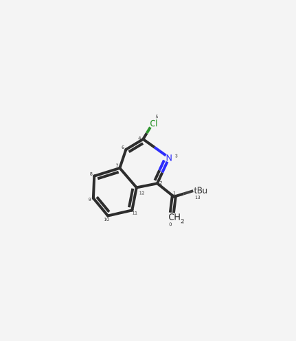 C=C(c1nc(Cl)cc2ccccc12)C(C)(C)C